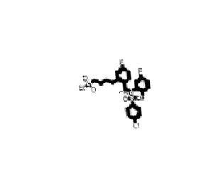 CCS(=O)(=O)CCCCc1cc(F)ccc1[C@@H](C)N(c1cc(F)ccc1F)S(=O)(=O)c1ccc(Cl)cc1